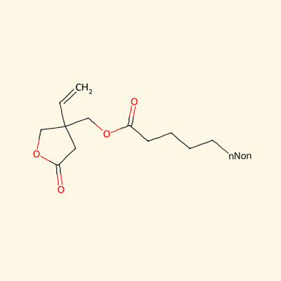 C=CC1(COC(=O)CCCCCCCCCCCCC)COC(=O)C1